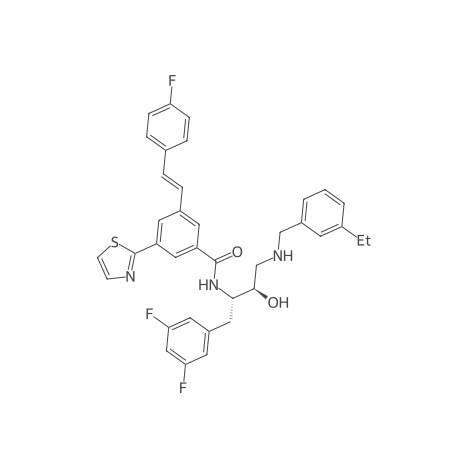 CCc1cccc(CNC[C@@H](O)[C@H](Cc2cc(F)cc(F)c2)NC(=O)c2cc(C=Cc3ccc(F)cc3)cc(-c3nccs3)c2)c1